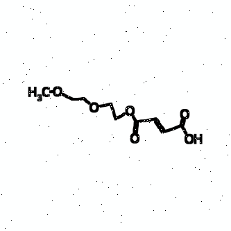 COCCOCCOC(=O)C=CC(=O)O